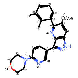 COc1cc2[nH]nc(-c3ccc(N4CCOCC4)nc3)c2nc1-c1cccc(C)c1C